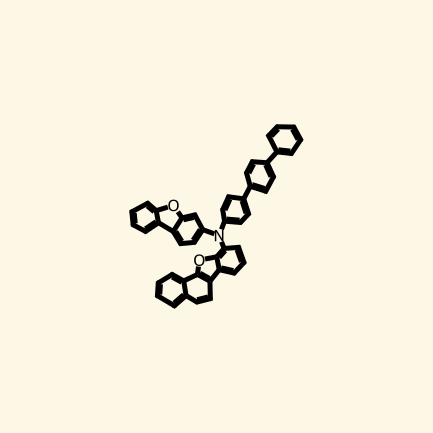 c1ccc(-c2ccc(-c3ccc(N(c4ccc5c(c4)oc4ccccc45)c4cccc5c4oc4c6ccccc6ccc54)cc3)cc2)cc1